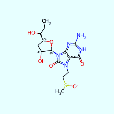 CCC(O)[C@@H]1C[C@@H](O)[C@H](n2c(=O)n(CC[S+](C)[O-])c3c(=O)[nH]c(N)nc32)O1